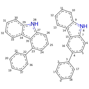 c1ccc(-c2ccc3[nH]c4ccccc4c3c2)cc1.c1ccc(-c2cccc3[nH]c4ccccc4c23)cc1